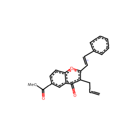 C=CCc1c(/C=C/c2ccccc2)oc2ccc(C(=O)OC)cc2c1=O